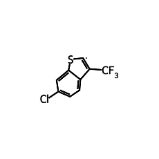 FC(F)(F)c1[c]sc2cc(Cl)ccc12